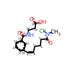 CN(Cl)C(=O)CCC/C=C\c1cccc(C(=O)NCCC(=O)O)c1